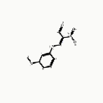 COC1C=C(N/C=C(\C=O)[N+](=O)[O-])C=CC1